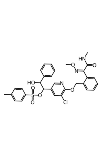 CNC(=O)/C(=N\OC)c1ccccc1COc1ncc(C(OS(=O)(=O)c2ccc(C)cc2)C(O)c2ccccc2)cc1Cl